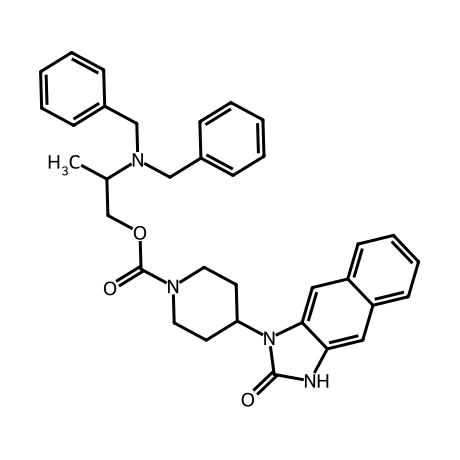 CC(COC(=O)N1CCC(n2c(=O)[nH]c3cc4ccccc4cc32)CC1)N(Cc1ccccc1)Cc1ccccc1